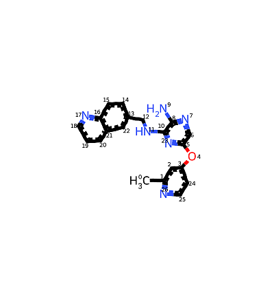 Cc1cc(Oc2cnc(N)c(NCc3ccc4ncccc4c3)n2)ccn1